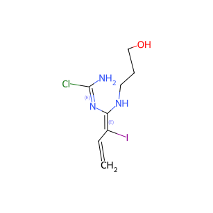 C=C/C(I)=C(\N=C(/N)Cl)NCCCO